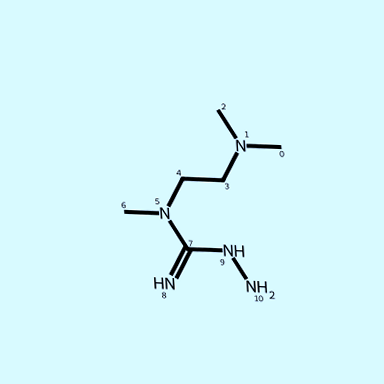 CN(C)CCN(C)C(=N)NN